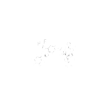 COC(=O)C1C=C(c2ccc(OC(F)F)c(OCc3ccccc3)c2)CN1C(=O)OC(C)(C)C